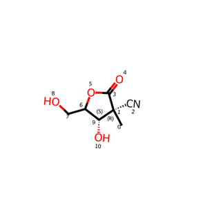 C[C@]1(C#N)C(=O)OC(CO)[C@H]1O